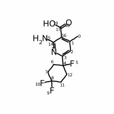 Cc1cc(C2(F)CCC(F)(F)CC2)nc(N)c1C(=O)O